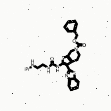 CC(C)NCCNC(=O)Nc1sc2c(c1-c1nc3ccccc3s1)CCN(C(=O)OCc1ccccc1)C2